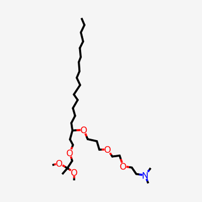 CCCCCCCCCCCCCCCC(CCOCC(C)(OC)OC)OCCCOCCOCCN(C)C